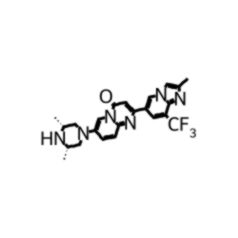 Cc1cn2cc(-c3cc(=O)n4cc(N5C[C@@H](C)N[C@@H](C)C5)ccc4n3)cc(C(F)(F)F)c2n1